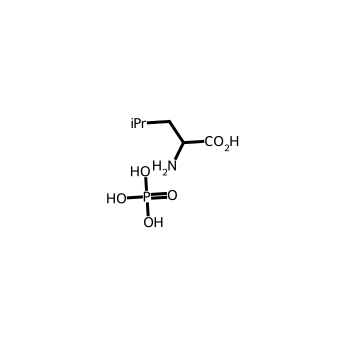 CC(C)CC(N)C(=O)O.O=P(O)(O)O